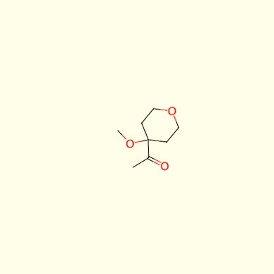 COC1(C(C)=O)CCOCC1